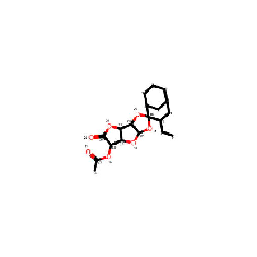 CCC1CC2CCCC(C2)C12OC1OC3C(OC(C)=O)C(=O)OC3C1O2